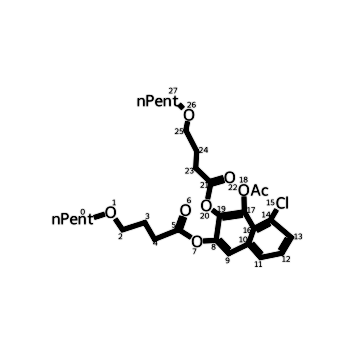 CCCCCOCCCC(=O)Oc1cc2cccc(Cl)c2c(OC(C)=O)c1OC(=O)CCCOCCCCC